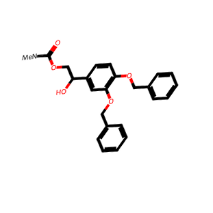 CNC(=O)OCC(O)c1ccc(OCc2ccccc2)c(OCc2ccccc2)c1